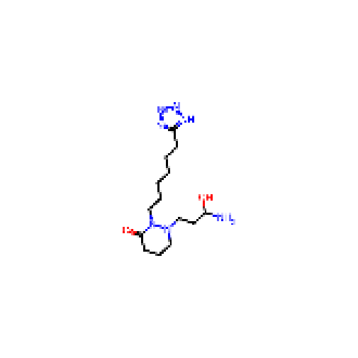 NC(O)CCN1CCCC(=O)N1CCCCCCc1nnn[nH]1